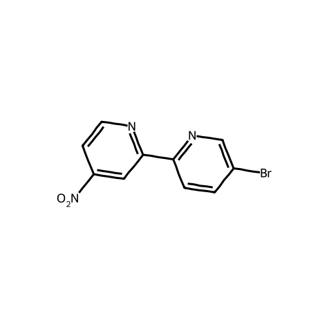 O=[N+]([O-])c1ccnc(-c2ccc(Br)cn2)c1